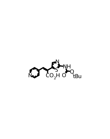 CC(C)(C)OC(=O)Nc1ncc(/C(=C/c2ccncc2)C(=O)O)s1